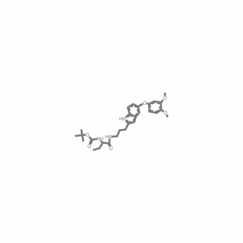 CCC(NC(=O)OC(C)(C)C)C(=O)NCCCc1cc2cc(Oc3ccc(OC)c(OC)c3)ccc2[nH]1